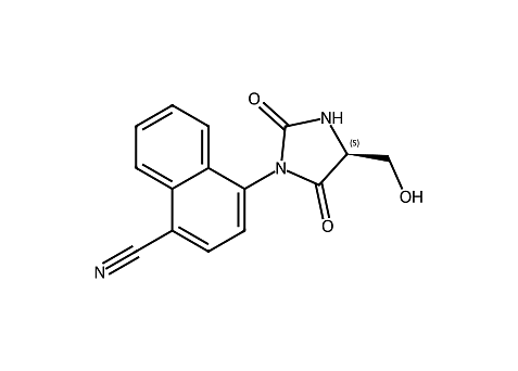 N#Cc1ccc(N2C(=O)N[C@@H](CO)C2=O)c2ccccc12